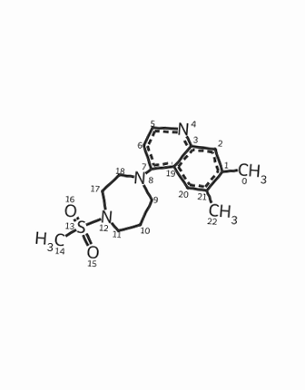 Cc1cc2nccc(N3CCCN(S(C)(=O)=O)CC3)c2cc1C